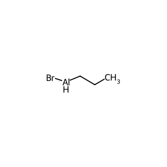 CC[CH2][AlH][Br]